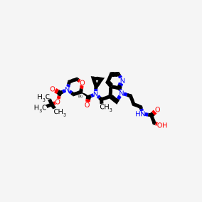 CC(c1cn(CCCNC(=O)CO)c2ncccc12)N(C(=O)[C@H]1CN(C(=O)OC(C)(C)C)CCO1)C1CC1